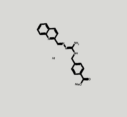 COC(=O)c1ccc(CN/C(N)=N/N=C/c2ccc3ccccc3n2)cc1.I